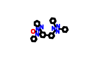 O=c1n(-c2ccccc2)c2ccc(-c3cccc(-c4nc(-c5ccccc5)nc(-c5ccccc5)n4)c3)cc2c2nc3ccccc3n12